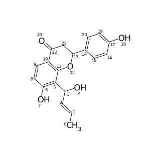 CC=CC(O)c1c(O)ccc2c1OC(c1ccc(O)cc1)CC2=O